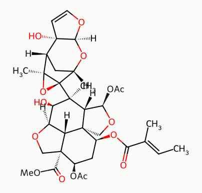 C/C=C(\C)C(=O)O[C@H]1C[C@@H](OC(C)=O)[C@@]2(C(=O)OC)CO[C@H]3[C@@H](O)[C@@](C)([C@]45O[C@@]4(C)[C@H]4C[C@@H]5O[C@@H]5OC=C[C@@]54O)[C@@H]4[C@@H](OC(C)=O)OC[C@@]14[C@@H]32